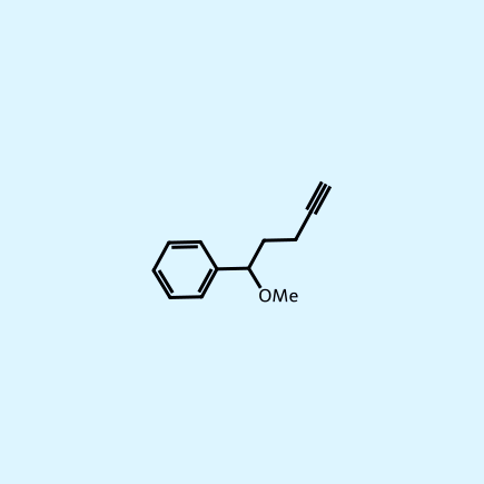 C#CCCC(OC)c1ccccc1